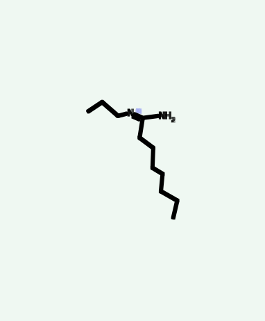 CCCCCCC/C(N)=N\CCC